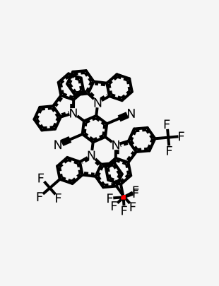 N#Cc1c(-n2c3ccccc3c3ccccc32)c(-n2c3ccccc3c3ccccc32)c(C#N)c(-n2c3ccc(C(F)(F)F)cc3c3cc(C(F)(F)F)ccc32)c1-n1c2ccc(C(F)(F)F)cc2c2cc(C(F)(F)F)ccc21